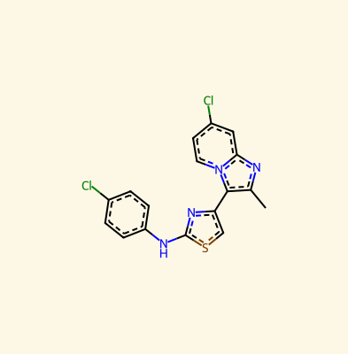 Cc1nc2cc(Cl)ccn2c1-c1csc(Nc2ccc(Cl)cc2)n1